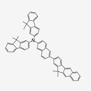 CC1(C)c2ccccc2-c2ccc(N(c3ccc4c(c3)C(C)(C)c3ccccc3-4)c3ccc4cc(-c5ccc6c(c5)C(C)(C)c5cc7ccccc7cc5-6)ccc4c3)cc21